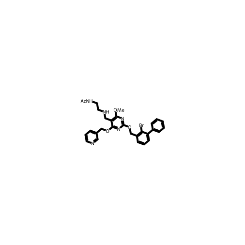 COc1nc(OCc2cccc(-c3ccccc3)c2Br)nc(OCc2cccnc2)c1CNCCNC(C)=O